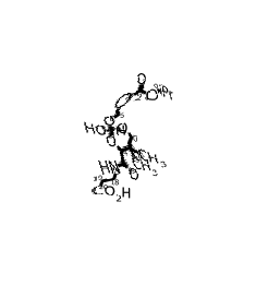 CC(C)OC(=O)OCO[PH]1(O)OCC(C)(C)C(C(=O)NCCC(=O)O)O1